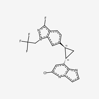 Fc1nn(CC(F)(F)F)c2cc([C@H]3C[C@@H]3c3cc(Cl)nn4ccnc34)ccc12